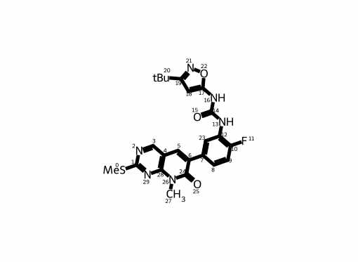 CSc1ncc2cc(-c3ccc(F)c(NC(=O)Nc4cc(C(C)(C)C)no4)c3)c(=O)n(C)c2n1